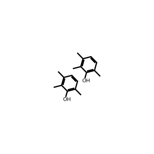 Cc1ccc(C)c(O)c1C.Cc1ccc(C)c(O)c1C